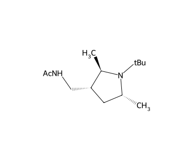 CC(=O)NC[C@H]1C[C@@H](C)N(C(C)(C)C)[C@@H]1C